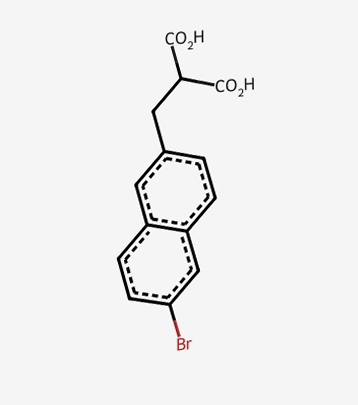 O=C(O)C(Cc1ccc2cc(Br)ccc2c1)C(=O)O